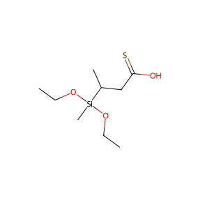 CCO[Si](C)(OCC)C(C)CC(O)=S